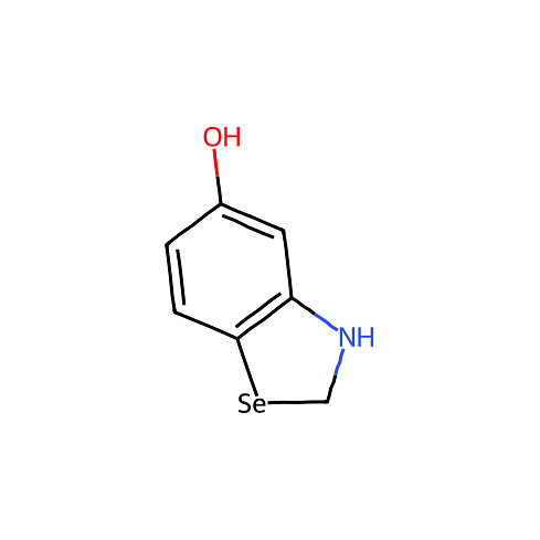 Oc1ccc2c(c1)NC[Se]2